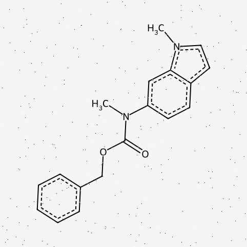 CN(C(=O)OCc1ccccc1)c1ccc2ccn(C)c2c1